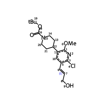 COc1nc(Cl)c(/C=C/CO)cc1C1CCN(C(=O)OC(C)(C)C)CC1